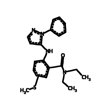 CCN(CC)C(=O)c1cc(SC)ccc1Nc1ccnn1-c1ccccc1